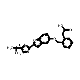 CC(C)(C)c1csc(-c2cc3cc(OCc4ccccc4CC(=O)O)ccc3o2)n1